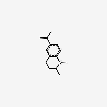 C=C(C)c1ccc2c(c1)CCC(C)N2C